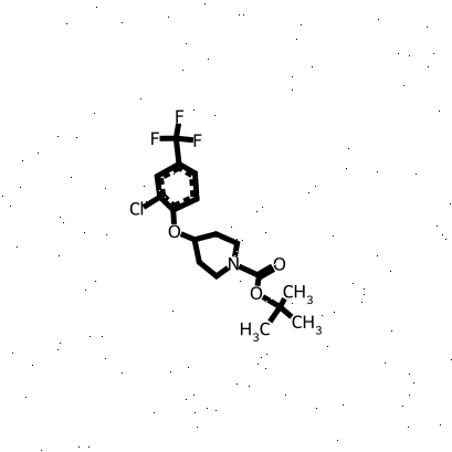 CC(C)(C)OC(=O)N1CCC(Oc2ccc(C(F)(F)F)cc2Cl)CC1